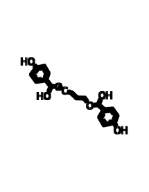 Oc1ccc(C(O)OCCCCOC(O)c2ccc(O)cc2)cc1